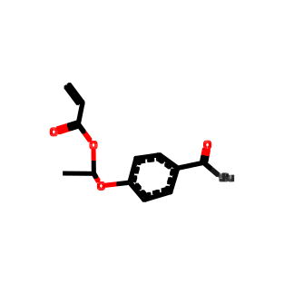 C=CC(=O)OC(C)Oc1ccc(C(=O)C(C)(C)C)cc1